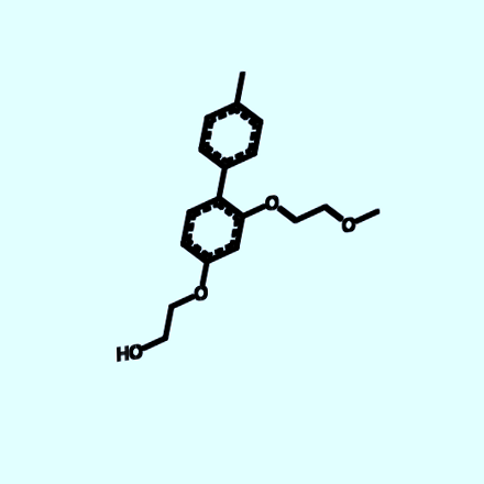 COCCOc1cc(OCCO)ccc1-c1ccc(C)cc1